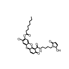 CCCCCCCC(=O)Oc1cc2oc3c(C(=O)NCCCCN4C(=O)C=CC4O)c(=O)ccc-3nc2cc1Cl